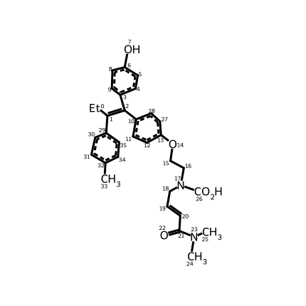 CC/C(=C(\c1ccc(O)cc1)c1ccc(OCCN(C/C=C/C(=O)N(C)C)C(=O)O)cc1)c1ccc(C)cc1